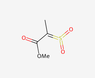 COC(=O)C(C)=S(=O)=O